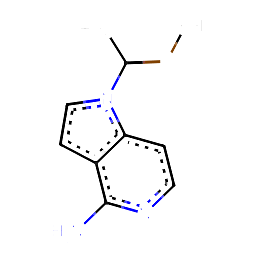 CSC(C)n1ccc2c(N)nccc21